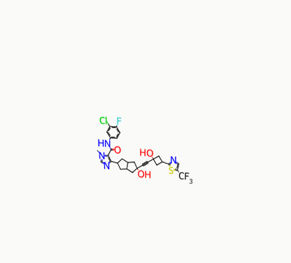 Cn1cnc(C2CC3CC(O)(C#CC4(O)CC(c5ncc(C(F)(F)F)s5)C4)CC3C2)c1C(=O)Nc1ccc(F)c(Cl)c1